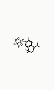 Cc1cc2c(cc1OS(=O)(=O)C(F)(F)F)C(C)(C)CC=C2C(C)C